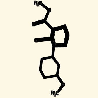 COC(=O)c1cccn(C2CCCC(OC)C2)c1=O